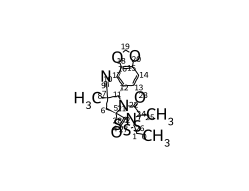 CCN1C(=O)[C@@]23C[C@](C)(C#N)[C@H](c4ccc5c(c4)OCO5)N2C(=O)[C@]1(C)SSS3